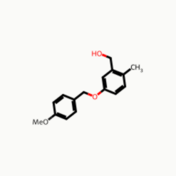 COc1ccc(COc2ccc(C)c(CO)c2)cc1